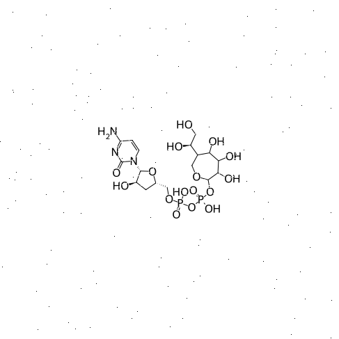 Nc1ccn([C@@H]2O[C@H](COP(=O)(O)OP(=O)(O)OC3OCC([C@@H](O)CO)C(O)C(O)C3O)C[C@H]2O)c(=O)n1